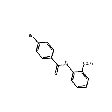 CCOC(=O)c1ccccc1NC(=O)c1ccc(Br)cc1